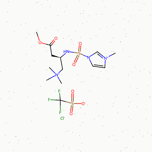 COC(=O)C[C@H](C[N+](C)(C)C)NS(=O)(=O)n1cc[n+](C)c1.O=S(=O)([O-])C(F)(F)F.[Cl-]